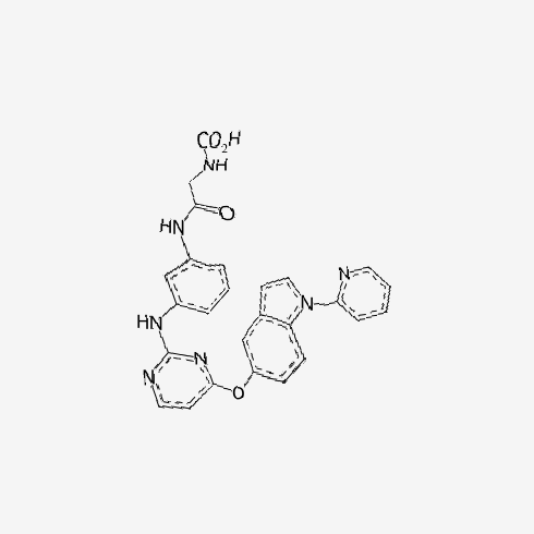 O=C(O)NCC(=O)Nc1cccc(Nc2nccc(Oc3ccc4c(ccn4-c4ccccn4)c3)n2)c1